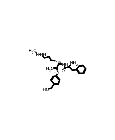 C=NNCCCC[C@H](NC(=O)C(N)Cc1ccccc1)C(=C)Nc1ccc(CO)cc1